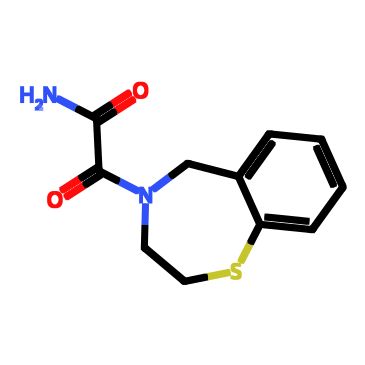 NC(=O)C(=O)N1CCSc2ccccc2C1